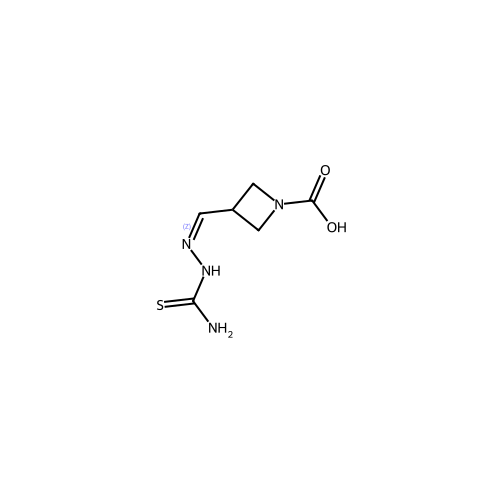 NC(=S)N/N=C\C1CN(C(=O)O)C1